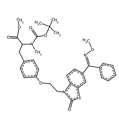 CO/N=C(\c1ccccc1)c1ccc2c(c1)sc(=O)n2CCOc1ccc(CC(C(=O)OC)N(C)C(=O)OC(C)(C)C)cc1